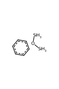 [SiH3]O[SiH3].c1ccccc1